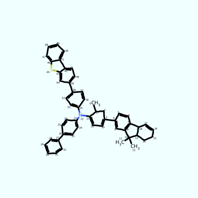 CC1CC(c2ccc3c(c2)C(C)(C)C2CCC=CC32)=CC=C1N(c1ccc(-c2ccccc2)cc1)c1ccc(-c2ccc3c(c2)sc2ccccc23)cc1